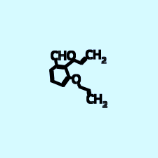 C=CCOc1cccc(C=O)c1CC=C